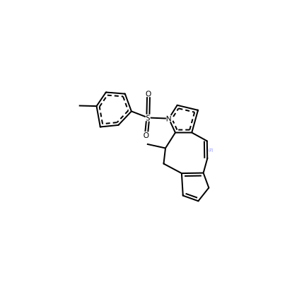 Cc1ccc(S(=O)(=O)n2ccc3c2C(C)CC2=C(/C=C\3)CC=C2)cc1